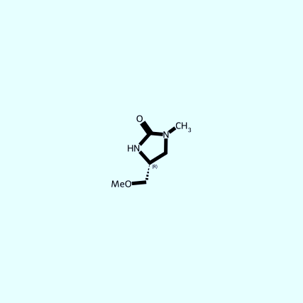 COC[C@H]1CN(C)C(=O)N1